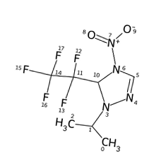 CC(C)N1N=CN([N+](=O)[O-])C1C(F)(F)C(F)(F)F